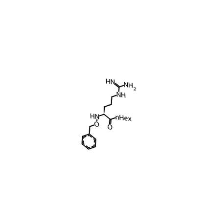 CCC[CH]CCC(=O)[C@H](CCCNC(=N)N)NOCc1ccccc1